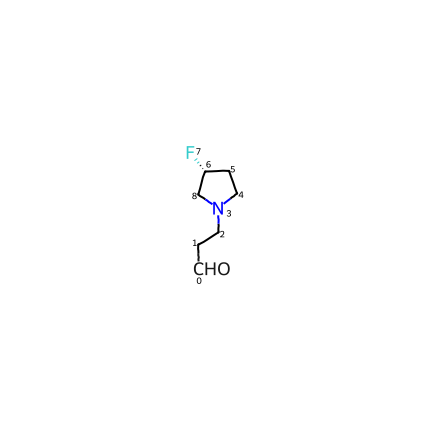 O=CCCN1CC[C@@H](F)C1